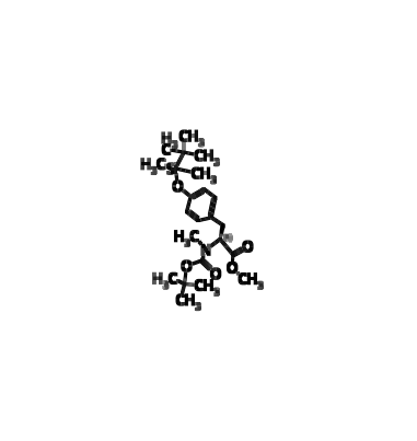 COC(=O)[C@H](Cc1ccc(O[Si](C)(C)C(C)(C)C)cc1)N(C)C(=O)OC(C)(C)C